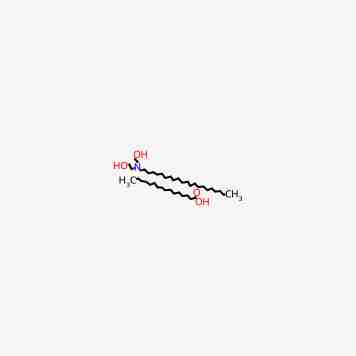 CCCCCCCCCCCCCCCC(=O)O.CCCCCCCCCCCCCCCCCCCCCCN(CCO)CCO